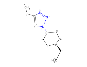 CCc1cn([C@H]2CC[C@H](CC)CC2)nn1